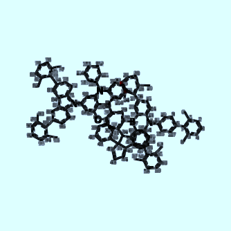 Cc1cccc(C)c1-c1ccc(N2c3ccc(-c4c(C)cccc4C)cc3B3c4cc5c(cc4C(C4(c6ccccc6)C=CC=C4c4ccccc4)c4cc(-c6c(C)cccc6C)cc2c43)Oc2cc(-n3c4ccc(-c6c(C)cccc6C)cc4c4cc(-c6c(C)cccc6C)ccc43)cc3c2B5c2ccccc2N3c2ccccc2)cc1